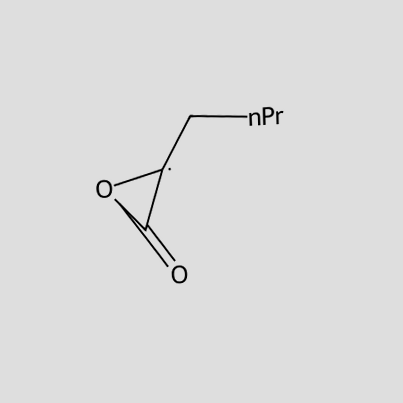 CCCC[C]1OC1=O